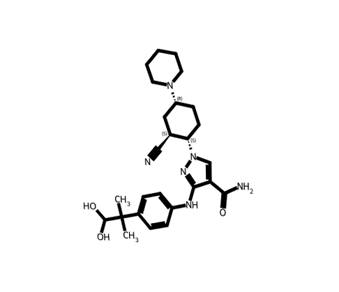 CC(C)(c1ccc(Nc2nn([C@H]3CC[C@@H](N4CCCCC4)C[C@@H]3C#N)cc2C(N)=O)cc1)C(O)O